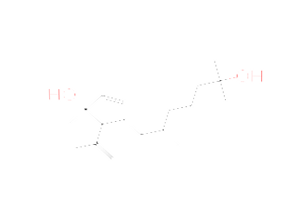 C=CC(C)(O)C(CCC(C)CCCC(C)(C)O)C(=C)C